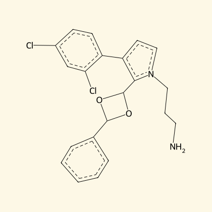 NCCCn1ccc(-c2ccc(Cl)cc2Cl)c1C1OC(c2ccccc2)O1